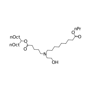 CCCCCCCCC(CCCCCCCC)OC(=O)CCCCN(CCO)CCCCCCCCC(=O)OCCC